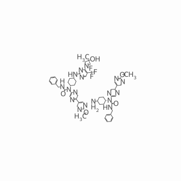 COc1ncc(-c2cnc(N(C(=O)NCc3ccccc3)[C@H]3CC[C@H](N)CC3)cn2)cn1.COc1ncc(-c2cnc(N(C(=O)NCc3ccccc3)[C@H]3CC[C@H](Nc4ncc(C(F)(F)F)c(N5CC(C)(O)C5)n4)CC3)cn2)cn1